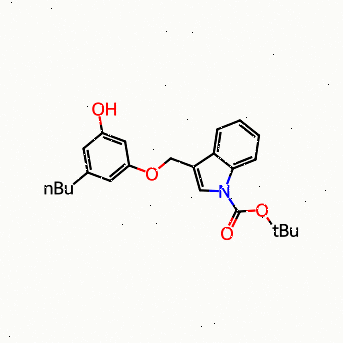 CCCCc1cc(O)cc(OCc2cn(C(=O)OC(C)(C)C)c3ccccc23)c1